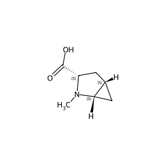 CN1[C@H](C(=O)O)C[C@@H]2C[C@@H]21